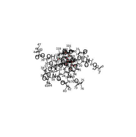 C=C(C)C(=C)OCCN(CCC(=O)C(=C)C)C(=O)C(C)CC(CC(CC(CC(CC(CSCC(=O)OCC(O)COC(=O)C(C)(C)CC)C(=O)N(CCOC(=C)C(=C)C)CCC(=O)C(=C)C)C(=O)N(CCOC(=C)C(=C)C)CCC(=O)C(=C)C)C(=O)N(CCOC(=C)C(=C)C)CCC(=O)C(=C)C)C(=O)N(CCOC(=C)C(=C)C)CCC(=O)C(=C)C)C(=O)N(CCOC(=C)C(=C)C)CCC(=O)C(=C)C